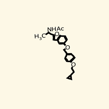 CC(=O)NC(C)c1cc2cc(OCc3ccc(OCCC4CC4)cc3)ccc2o1